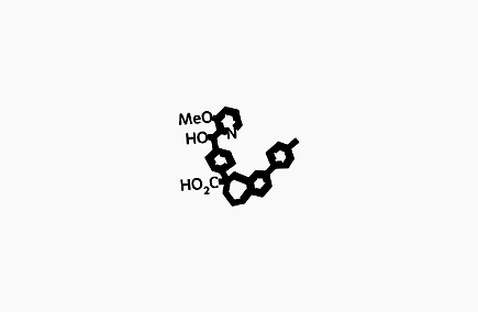 COc1cccnc1C(O)c1ccc(C2(C(=O)O)C=c3cc(-c4ccc(C)cc4)ccc3=CCC2)cc1